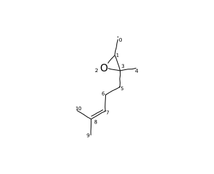 [CH2]C1OC1(C)CCC=C(C)C